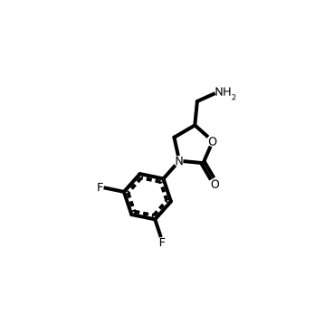 NCC1CN(c2cc(F)cc(F)c2)C(=O)O1